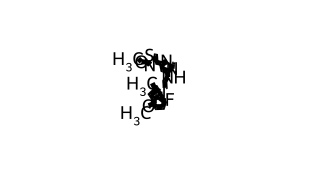 COc1nc(-c2cc(NCCn3c(C)cc4c(OC)ccc(F)c43)ncn2)cs1